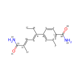 C=C(\C=C/C(=C\CC)C(=C/C=C(\C)C(N)=O)/CC)C(N)=O